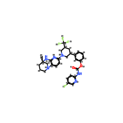 O=C(Nc1ccc(F)cn1)Oc1cccc(C2CC(C(F)(F)F)CN(c3ccc4c(n3)N[C@H]3CCCN4C3)C2)c1